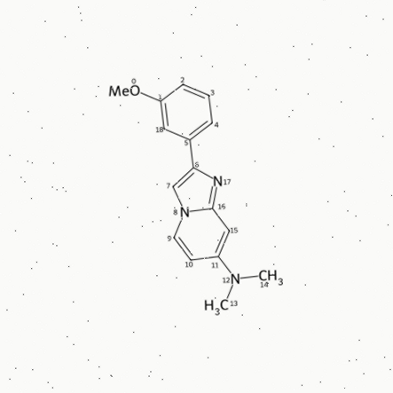 COc1cccc(-c2cn3ccc(N(C)C)cc3n2)c1